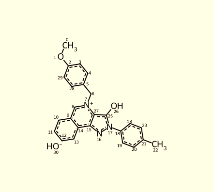 COc1ccc(C[n+]2cc3ccccc3c3nn(-c4ccc(C)cc4)c(O)c32)cc1.[OH-]